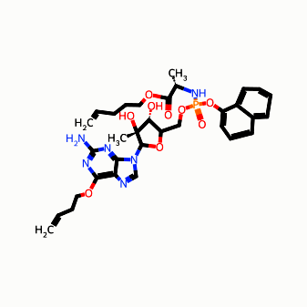 C=CCCCOC(=O)[C@H](C)NP(=O)(OCC1OC(n2cnc3c(OCCC=C)nc(N)nc32)[C@](C)(O)[C@@H]1O)Oc1cccc2ccccc12